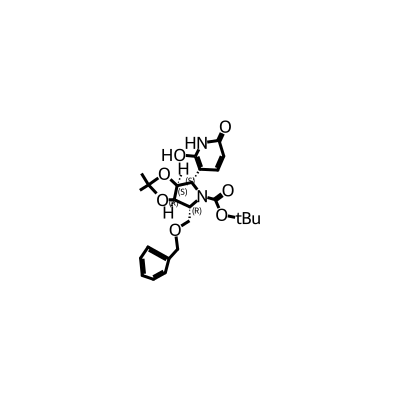 CC(C)(C)OC(=O)N1[C@H](COCc2ccccc2)[C@H]2OC(C)(C)O[C@H]2[C@@H]1c1ccc(=O)[nH]c1O